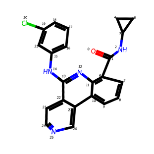 O=C(NC1CC1)c1cccc2c1nc(Nc1cccc(Cl)c1)c1ccncc12